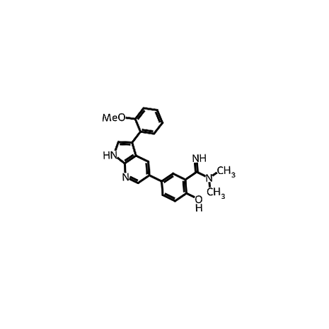 COc1ccccc1-c1c[nH]c2ncc(-c3ccc(O)c(C(=N)N(C)C)c3)cc12